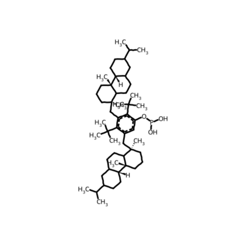 CC(C)C1CC[C@@H]2C(CCC3[C@@](C)(Cc4cc(OP(O)O)c(C(C)(C)C)c(C[C@@]5(C)CCC[C@@]6(C)C5CCC5CC(C(C)C)CC[C@H]56)c4C(C)(C)C)CCC[C@@]32C)C1